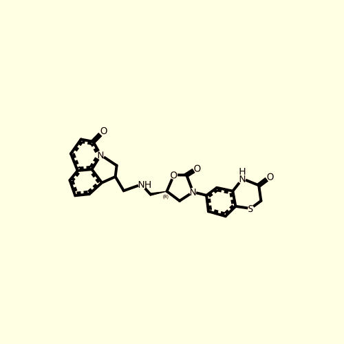 O=C1CSc2ccc(N3C[C@@H](CNCC4Cn5c(=O)ccc6cccc4c65)OC3=O)cc2N1